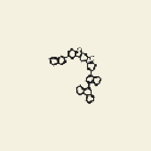 C1=CC2Oc3cc4oc5ccc(-c6ccc(-c7cc8ccccc8c8ccccc78)c7ccccc67)cc5c4cc3C2C=C1c1ccc2ccccc2c1